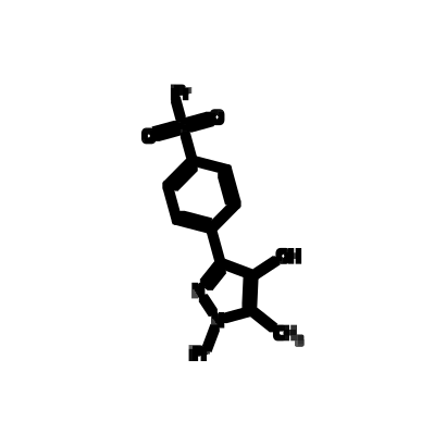 Cc1c(O)c(-c2ccc(S(=O)(=O)C(C)C)cc2)nn1C(C)C